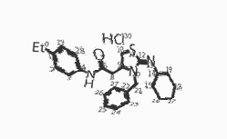 CCc1ccc(NC(=O)CC2CSC(=NC3CCCCC3)N2Cc2ccccc2)cc1.Cl